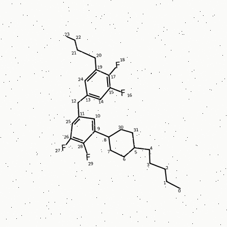 CCCCCC1CCC(c2cc(Cc3cc(F)c(F)c(CCCC)c3)cc(F)c2F)CC1